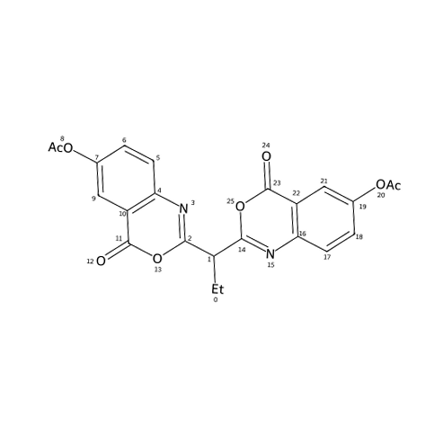 CCC(c1nc2ccc(OC(C)=O)cc2c(=O)o1)c1nc2ccc(OC(C)=O)cc2c(=O)o1